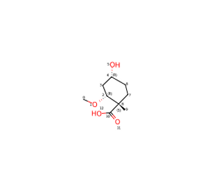 CO[C@@H]1C[C@H](O)CC[C@]1(C)C(=O)O